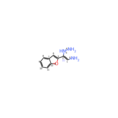 N/C=C(\NN)c1cc2ccccc2o1